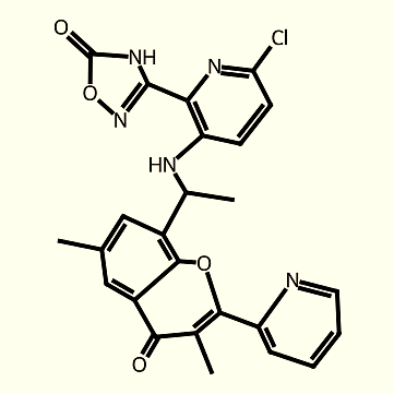 Cc1cc(C(C)Nc2ccc(Cl)nc2-c2noc(=O)[nH]2)c2oc(-c3ccccn3)c(C)c(=O)c2c1